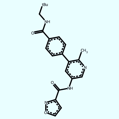 Cc1ncc(NC(=O)c2ccon2)cc1-c1ccc(C(=O)NCC(C)(C)C)cc1